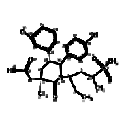 CCC(CN(C)S(C)(=O)=O)N1C(=O)[C@@](C)(CC(=O)O)C[C@H](c2cccc(Cl)c2)C1c1ccc(Cl)cc1